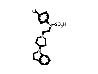 O=S(=O)(O)N(CCN1CCC(N2CCc3ccccc32)CC1)c1ccc(Cl)cc1